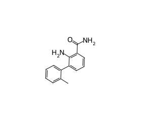 Cc1ccccc1-c1cccc(C(N)=O)c1N